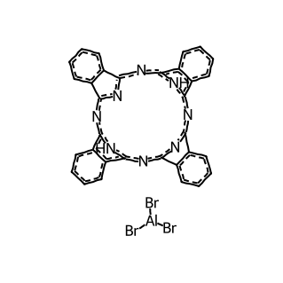 [Br][Al]([Br])[Br].c1ccc2c(c1)-c1nc-2nc2[nH]c(nc3nc(nc4[nH]c(n1)c1ccccc41)-c1ccccc1-3)c1ccccc21